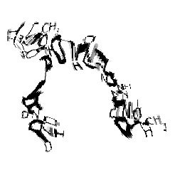 CNC(=O)c1ccccc1Nc1nc(Nc2ccc(N3CCN(C(=O)NC[C@H]4CC[C@@H](N(C(=O)OC(C)(C)C)[C@H]5C[C@H](C#Cc6ccc7c(c6)CN(C6CCC(=O)NC6=O)C7=O)C5)CC4)CC3)nc2)ncc1Cl